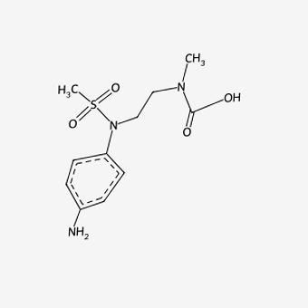 CN(CCN(c1ccc(N)cc1)S(C)(=O)=O)C(=O)O